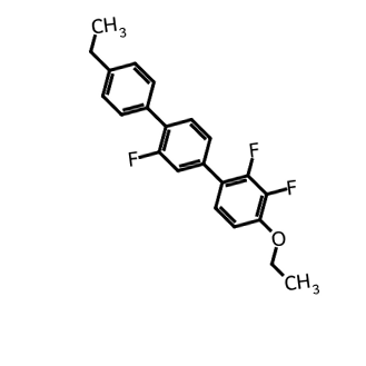 CCOc1ccc(-c2ccc(-c3ccc(CC)cc3)c(F)c2)c(F)c1F